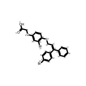 O=C(O)COc1ccc(SCC=C(c2ccccc2)c2ccc(Br)cc2)c(Br)c1